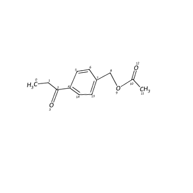 CCC(=O)c1ccc(COC(C)=O)cc1